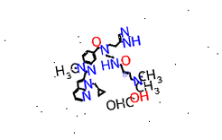 CN(C)C/C=C/C(=O)NCCN(CCc1cnc[nH]1)C(=O)c1ccc2c(c1)nc(-c1cc3cccnc3n1CC1CC1)n2C.O=CO